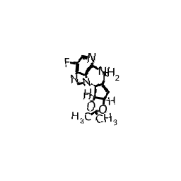 CC1(C)O[C@H]2[C@H](n3cnc4c(F)cnc(N)c43)C(F)=C[C@H]2O1